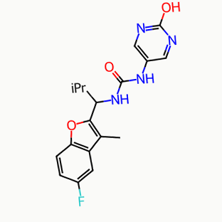 Cc1c(C(NC(=O)Nc2cnc(O)nc2)C(C)C)oc2ccc(F)cc12